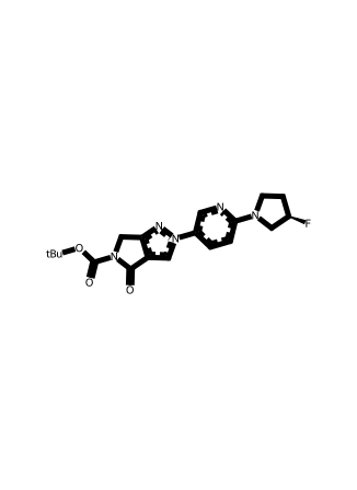 CC(C)(C)OC(=O)N1Cc2nn(-c3ccc(N4CC[C@@H](F)C4)nc3)cc2C1=O